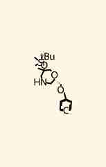 CC1(O[Si](C)(C)C(C)(C)C)CNC[C@@H](COCc2ccccc2)OC1